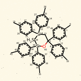 Cc1ccc(C2(c3ccc(C)cc3)C[Si](c3ccc(C)cc3)(c3ccc(C)cc3)[SiH2][Si](c3ccc(C)cc3)(c3ccc(C)cc3)O2)cc1